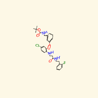 CC(C)(C)OC(=O)NCc1cccc(Oc2cc(Cl)ccc2NCCC(=O)NCCc2ccccc2F)c1